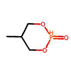 CC1CO[PH](=O)OC1